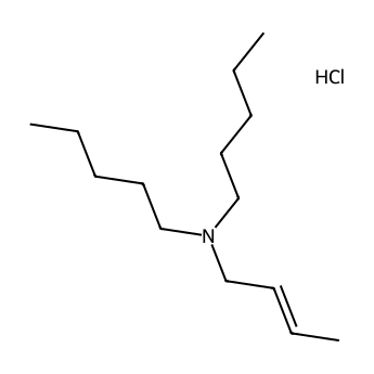 CC=CCN(CCCCC)CCCCC.Cl